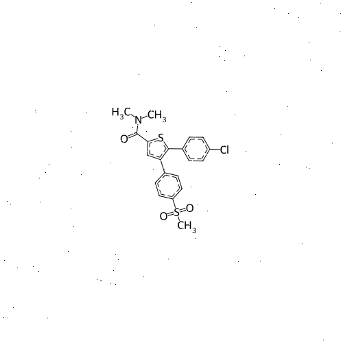 CN(C)C(=O)c1cc(-c2ccc(S(C)(=O)=O)cc2)c(-c2ccc(Cl)cc2)s1